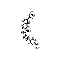 Cn1cc(-c2ccc3cnc(NC(=O)c4cn(C5CCN(CCF)CC5)nn4)cc3n2)nn1